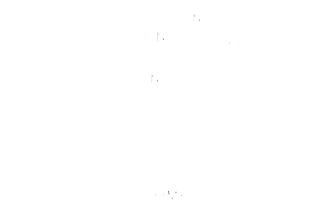 COc1ccc(-c2cc3c(Cl)ncnc3n2C2CCCC2)cc1